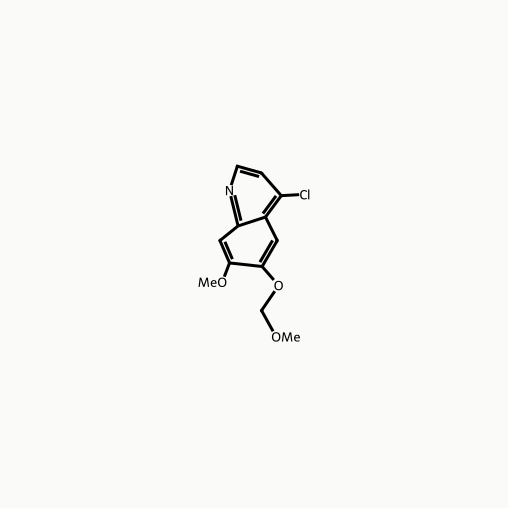 COCOc1cc2c(Cl)ccnc2cc1OC